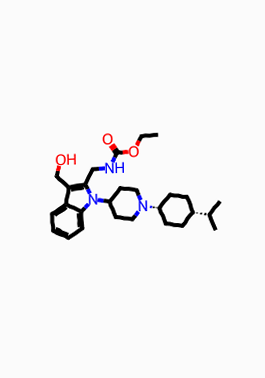 CCOC(=O)NCc1c(CO)c2ccccc2n1C1CCN([C@H]2CC[C@@H](C(C)C)CC2)CC1